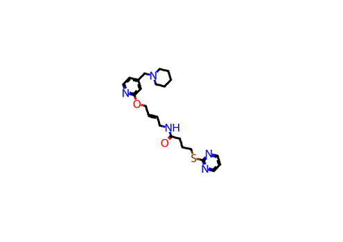 O=C(CCCSc1ncccn1)NCC=CCOc1cc(CN2CCCCC2)ccn1